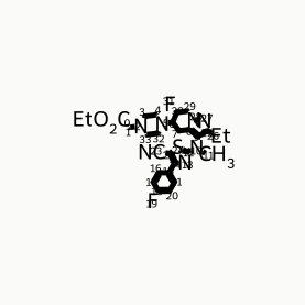 CCOC(=O)CN1CCN(C2Cc3c(N(C)c4nc(-c5ccc(F)cc5)c(C#N)s4)c(CC)nn3CC2F)CC1